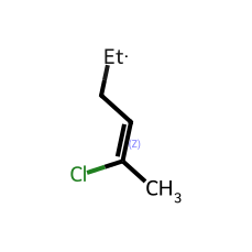 C[CH]C/C=C(/C)Cl